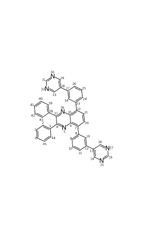 c1ccc(-c2nc3c(-c4cccc(-c5cncnc5)c4)ccc(-c4cccc(-c5cncnc5)c4)c3nc2-c2ccccc2)cc1